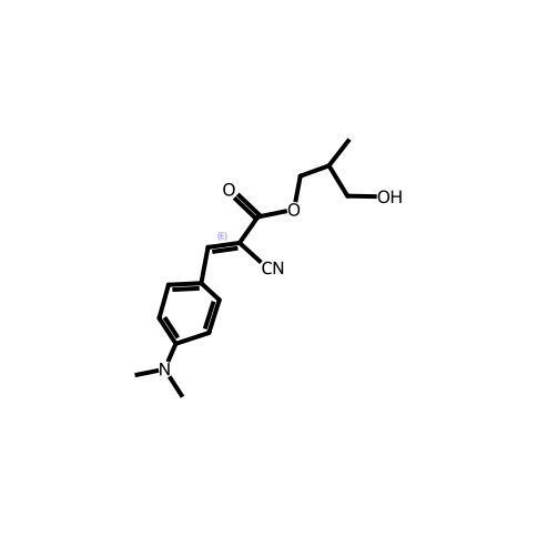 CC(CO)COC(=O)/C(C#N)=C/c1ccc(N(C)C)cc1